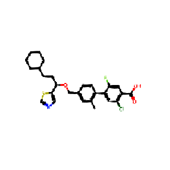 Cc1cc(COC(CCC2CCCCC2)c2cncs2)ccc1-c1cc(Cl)c(C(=O)O)cc1F